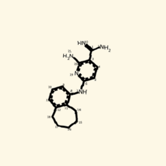 N=C(N)c1ccc(Nc2cccc3c2CCCCC3)nc1N